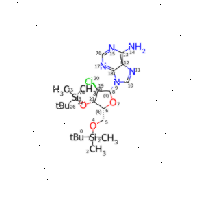 CC(C)(C)[Si](C)(C)OC[C@H]1O[C@@H](n2cnc3c(N)ncnc32)[C@H](Cl)C1O[Si](C)(C)C(C)(C)C